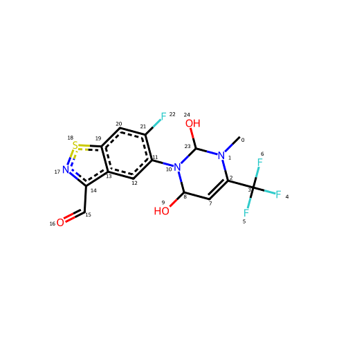 CN1C(C(F)(F)F)=CC(O)N(c2cc3c(C=O)nsc3cc2F)C1O